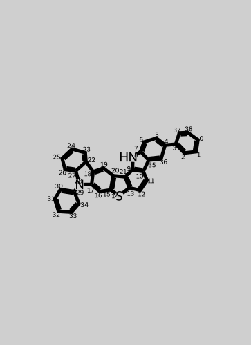 c1ccc(-c2ccc3[nH]c4c(ccc5sc6cc7c(cc6c54)c4ccccc4n7-c4ccccc4)c3c2)cc1